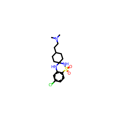 CN(C)CCC1CCC2(CC1)Nc1cc(Cl)ccc1S(=O)(=O)N2